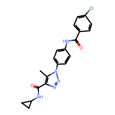 Cc1c(C(=O)NC2CC2)nnn1-c1ccc(NC(=O)c2ccc(Cl)cc2)cc1